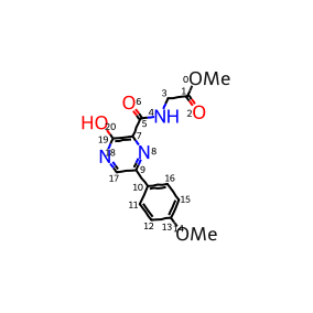 COC(=O)CNC(=O)c1nc(-c2ccc(OC)cc2)cnc1O